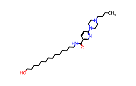 CCCCN1CCN(c2ccc(C(=O)NCCCCCCCCCCCCCCO)cn2)CC1